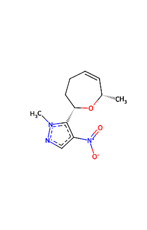 C[C@H]1C=CCC[C@@H](c2c([N+](=O)[O-])cnn2C)O1